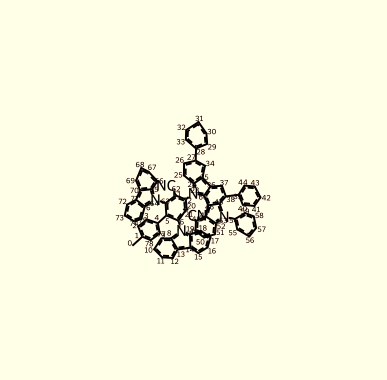 Cc1ccc(-c2c(-n3c4ccccc4c4ccccc43)c(C#N)c(-n3c4ccc(-c5ccccc5)cc4c4cc(-c5ccccc5)c5c(c6ccccc6n5-c5ccccc5)c43)c(C#N)c2-n2c3ccccc3c3ccccc32)cc1